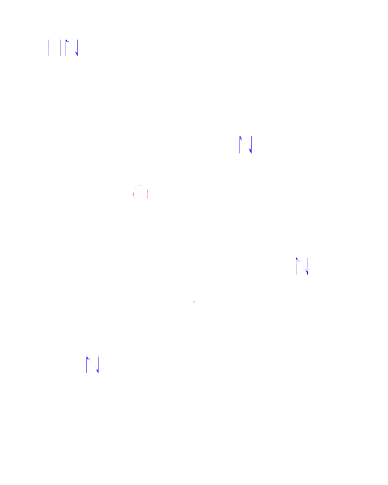 c1cncc(-c2nccnc2OC2CNC2)c1